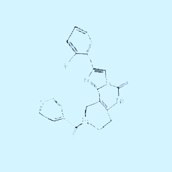 O=C(c1ccncc1)N1CCc2[nH]c(=O)n3cc(-c4ccccc4F)nc3c2C1